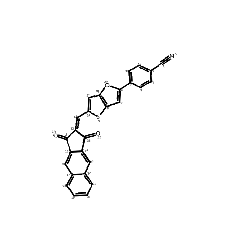 N#Cc1ccc(-c2cc3sc(C=C4C(=O)c5cc6ccccc6cc5C4=O)cc3o2)cc1